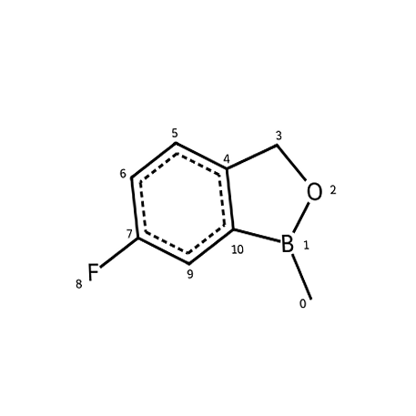 CB1OCc2ccc(F)cc21